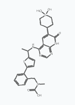 CC(Nc1ncnc2[nH]c(=O)c(C3CCS(O)(O)CC3)cc12)c1ccc(-c2ccccc2CN(C)C(=O)O)s1